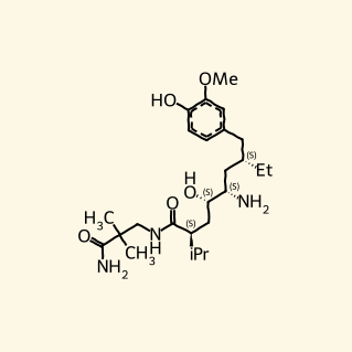 CC[C@@H](Cc1ccc(O)c(OC)c1)C[C@H](N)[C@@H](O)C[C@H](C(=O)NCC(C)(C)C(N)=O)C(C)C